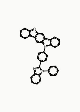 c1ccc(-n2c(-c3ccc(-n4c5ccccc5c5cc6oc7ccccc7c6cc54)cc3)nc3ccccc32)cc1